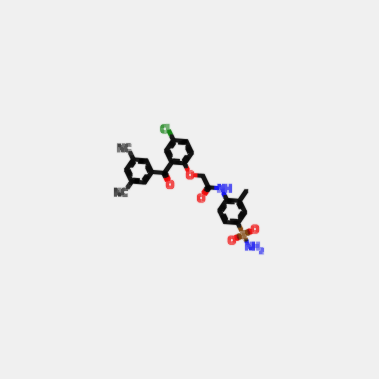 Cc1cc(S(N)(=O)=O)ccc1NC(=O)COc1ccc(Cl)cc1C(=O)c1cc(C#N)cc(C#N)c1